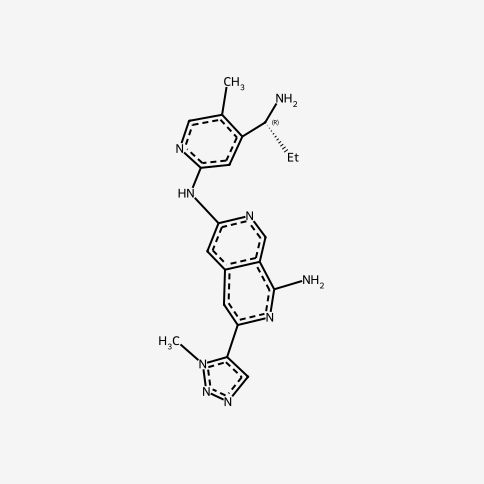 CC[C@@H](N)c1cc(Nc2cc3cc(-c4cnnn4C)nc(N)c3cn2)ncc1C